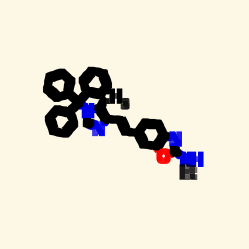 CCNc1nc2ccc(C=Cc3ncn(C(c4ccccc4)(c4ccccc4)c4ccccc4)c3C)cc2o1